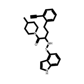 C#Cc1ccccc1CCC(NSc1cccc2[nH]ccc12)C(=O)N1CCC(C)CC1